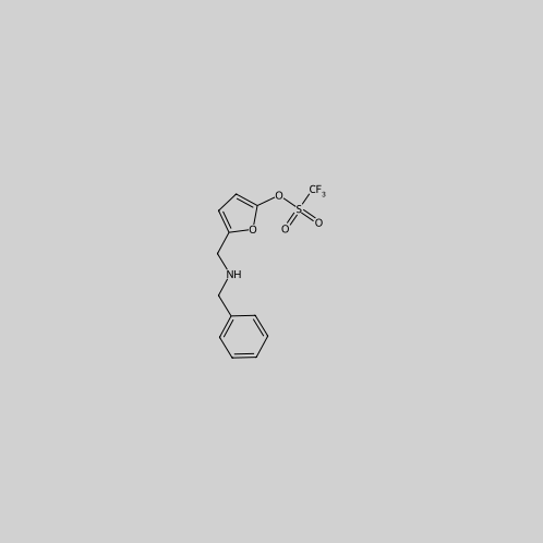 O=S(=O)(Oc1ccc(CNCc2ccccc2)o1)C(F)(F)F